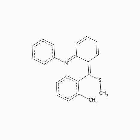 CS/C(=C1\C=CC=C\C1=N/c1ccccc1)c1ccccc1C